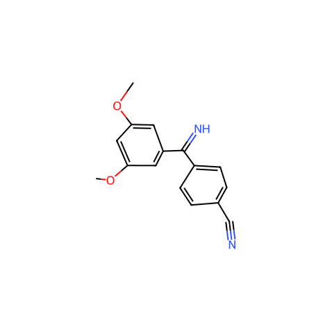 COc1cc(OC)cc(C(=N)c2ccc(C#N)cc2)c1